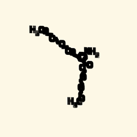 COCCOCCOCCOOCc1cc(N)cc(C(=O)OCCOCCOCCOC)c1